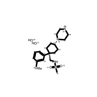 COc1cccc([C@]2(CNS(C)(=O)=O)CC[C@H](N3CCNCC3)CC2)c1.Cl.Cl